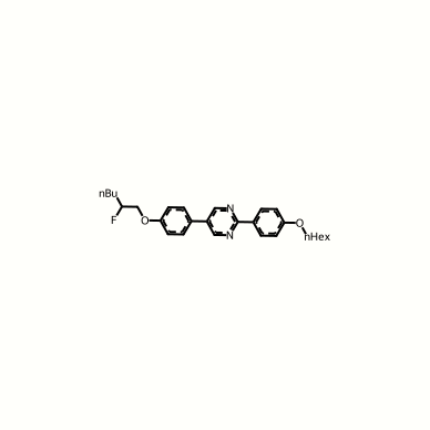 CCCCCCOc1ccc(-c2ncc(-c3ccc(OCC(F)CCCC)cc3)cn2)cc1